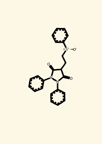 O=C1C(CC[S@@+]([O-])c2ccccc2)C(=O)N(c2ccccc2)N1c1ccccc1